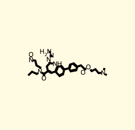 CCCN(CCCN=O)C(=O)C1=Cc2ccc(-c3ccc(CC(=O)OCCCN(C)C)cc3)cc2NC(N=NN)C1